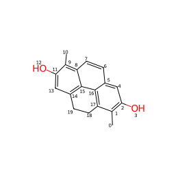 Cc1c(O)cc2ccc3c(C)c(O)cc4c3c2c1CC4